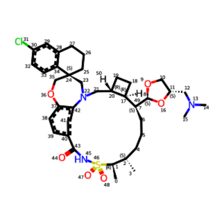 C[C@@H]1[C@@H](C)CCC[C@H]([C@H]2OC[C@H](CN(C)C)O2)[C@@H]2CC[C@H]2CN2C[C@@]3(CCCc4cc(Cl)ccc43)COc3ccc(cc32)C(=O)NS1(=O)=O